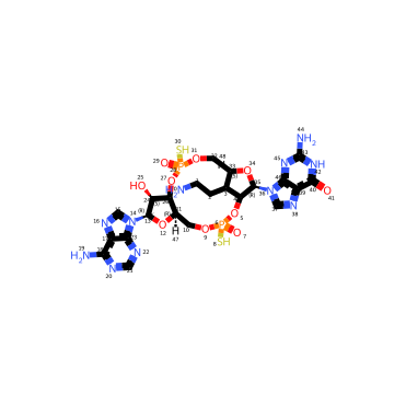 NCCC1C2OP(=O)(S)OC[C@H]3O[C@@H](n4cnc5c(N)ncnc54)[C@@H](O)C3OP(=O)(S)OC[C@H]1O[C@H]2n1cnc2c(=O)[nH]c(N)nc21